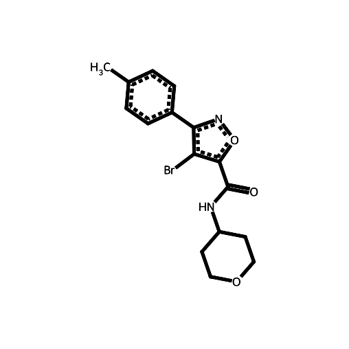 Cc1ccc(-c2noc(C(=O)NC3CCOCC3)c2Br)cc1